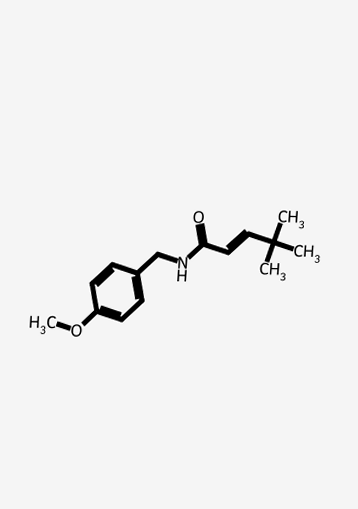 COc1ccc(CNC(=O)/C=C/C(C)(C)C)cc1